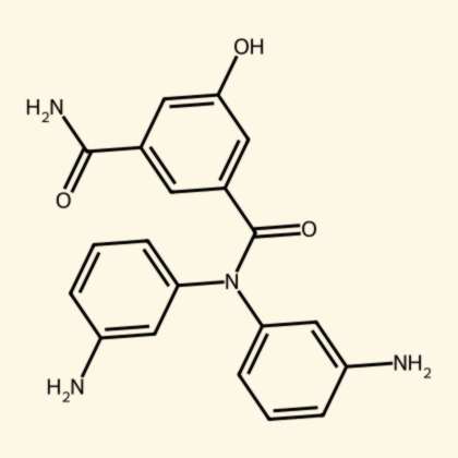 NC(=O)c1cc(O)cc(C(=O)N(c2cccc(N)c2)c2cccc(N)c2)c1